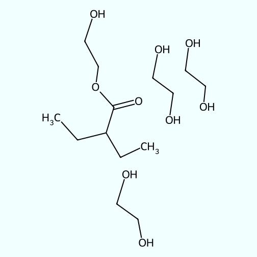 CCC(CC)C(=O)OCCO.OCCO.OCCO.OCCO